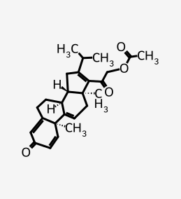 CC(=O)OCC(=O)C1=C(C(C)C)C[C@H]2[C@@H]3CCC4=CC(=O)C=C[C@]4(C)C3=CC[C@]12C